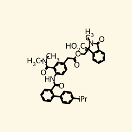 CC(C)c1ccc(-c2ccccc2C(=O)Nc2ccc(CC(=O)OC[C@@]3(C(=O)O)c4ccccc4C(=O)N3C)cc2C(=O)N(C)C)cc1